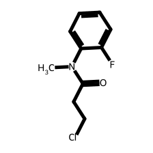 CN(C(=O)CCCl)c1ccccc1F